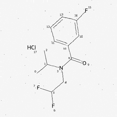 CC(C)N(CC(F)F)C(=O)c1cccc(F)c1.Cl